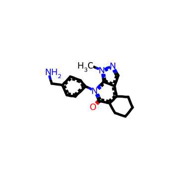 Cn1ncc2c3c(c(=O)n(-c4ccc(CN)cc4)c21)CCCC3